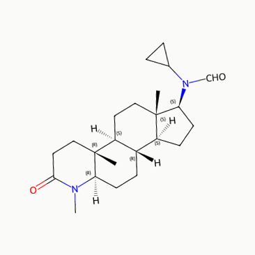 CN1C(=O)CC[C@]2(C)[C@H]3CC[C@]4(C)[C@@H](N(C=O)C5CC5)CC[C@H]4[C@@H]3CC[C@@H]12